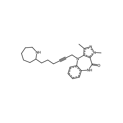 Cc1nn(C)c2c1N(CC#CCCCC1CCCCCN1)c1ccccc1NC2=O